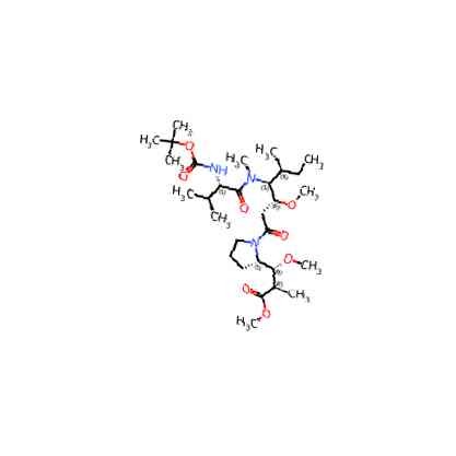 CC[C@H](C)[C@@H]([C@@H](CC(=O)N1CCC[C@H]1[C@H](OC)[C@@H](C)C(=O)OC)OC)N(C)C(=O)[C@@H](NC(=O)OC(C)(C)C)C(C)C